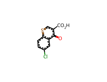 O=C(O)c1csc2ccc(Cl)cc2c1=O